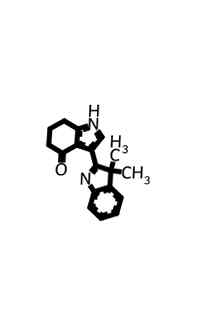 CC1(C)C(c2c[nH]c3c2C(=O)CCC3)=Nc2ccccc21